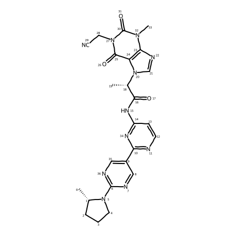 C[C@H]1CCCN1c1ncc(-c2nccc(NC(=O)[C@H](C)n3cnc4c3c(=O)n(CC#N)c(=O)n4C)n2)cn1